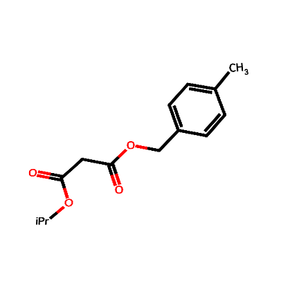 Cc1ccc(COC(=O)CC(=O)OC(C)C)cc1